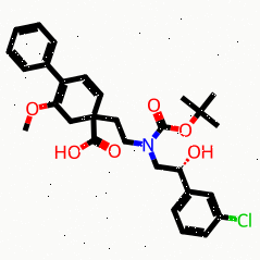 COC1=C(c2ccccc2)C=CC(CCN(C[C@H](O)c2cccc(Cl)c2)C(=O)OC(C)(C)C)(C(=O)O)C1